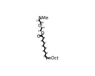 CCCCCCCC/C=C\CCCCCCCC(=O)OCCOCCNC